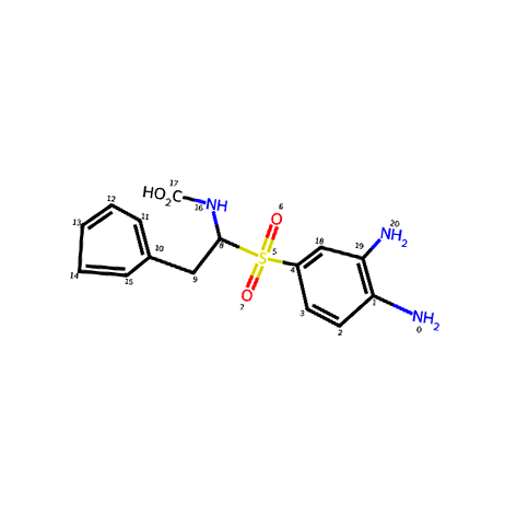 Nc1ccc(S(=O)(=O)C(Cc2ccccc2)NC(=O)O)cc1N